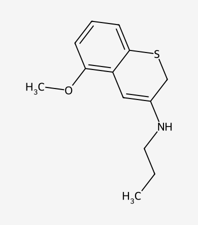 CCCNC1=Cc2c(OC)cccc2SC1